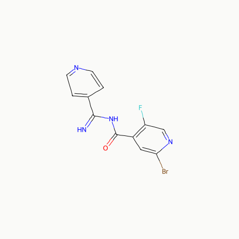 N=C(NC(=O)c1cc(Br)ncc1F)c1ccncc1